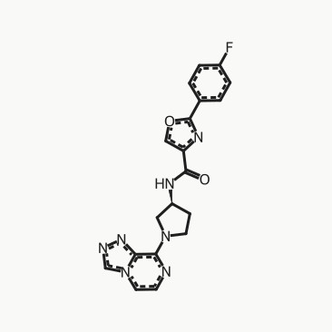 O=C(N[C@H]1CCN(c2nccn3cnnc23)C1)c1coc(-c2ccc(F)cc2)n1